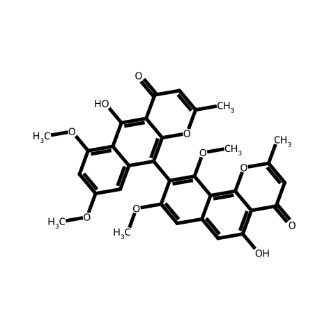 COc1cc(OC)c2c(O)c3c(=O)cc(C)oc3c(-c3c(OC)cc4cc(O)c5c(=O)cc(C)oc5c4c3OC)c2c1